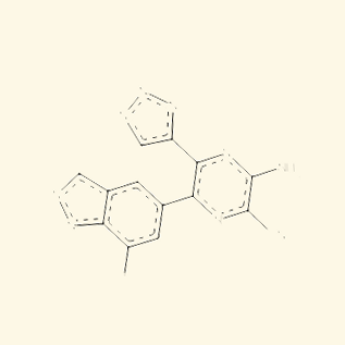 N#Cc1nc(-c2cc(Cl)c3[nH]ncc3c2)c(-c2cnn[nH]2)nc1N